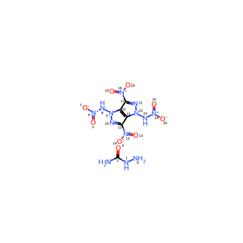 NNC(N)=O.O=[N+]([O-])Nn1nc([N+](=O)[O-])c2c1c([N+](=O)[O-])nn2N[N+](=O)[O-]